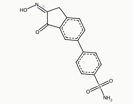 NS(=O)(=O)c1ccc(-c2ccc3c(c2)C(=O)/C(=N\O)C3)cc1